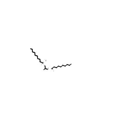 CCCCCCCCCC(=O)OCC(C)COC(=O)CCCCCCCCC